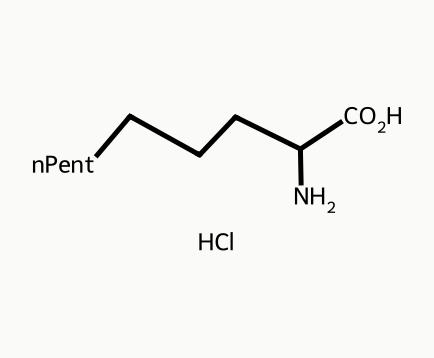 CCCCCCCCC(N)C(=O)O.Cl